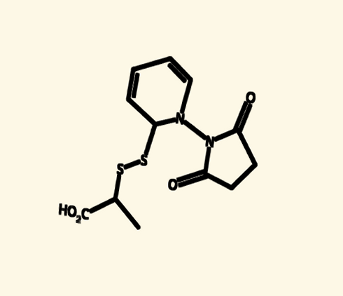 CC(SSC1C=CC=CN1N1C(=O)CCC1=O)C(=O)O